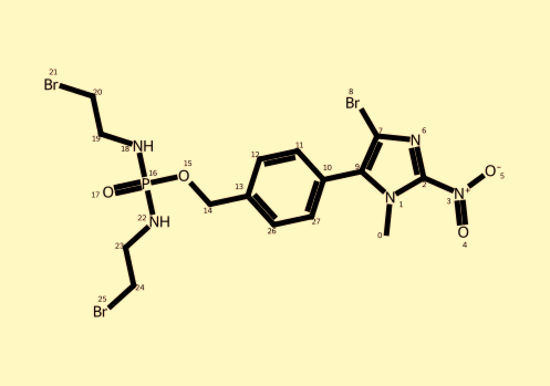 Cn1c([N+](=O)[O-])nc(Br)c1-c1ccc(COP(=O)(NCCBr)NCCBr)cc1